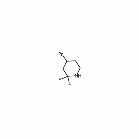 CC(C)C1CCNC(F)(F)C1